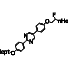 CCCCCCCOc1ccc(-c2ncc(-c3ccc(OCC(F)CCCCCCC)cc3)cn2)cc1